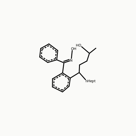 CCCCCCCC(CCC(C)O)c1ccccc1C(=NO)c1ccccc1